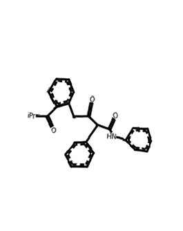 CC(C)C(=O)c1ccccc1CC(=O)C(C(=O)Nc1ccccc1)c1ccccc1